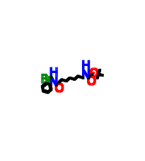 CC(C)(C)OC(=O)NCCCCCCC(=O)Nc1ccccc1Br